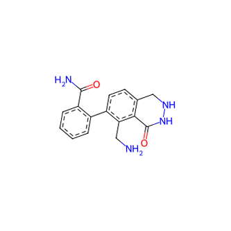 NCc1c(-c2ccccc2C(N)=O)ccc2c1C(=O)NNC2